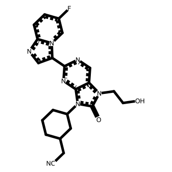 N#CCC1CCCC(n2c(=O)n(CCO)c3cnc(-c4cnc5ccc(F)cn45)nc32)C1